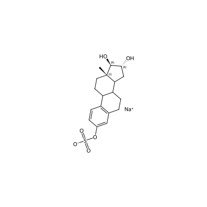 C[C@]12CCC3c4ccc(OS(=O)(=O)[O-])cc4CCC3C1C[C@@H](O)[C@@H]2O.[Na+]